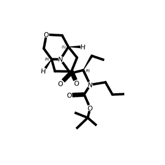 CCCN(C(=O)OC(C)(C)C)[C@H](CC)C(=O)N1[C@@H]2COC[C@H]1CC(=O)C2